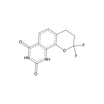 O=c1[nH]c(=O)c2ccc3c(c2[nH]1)OC(F)(F)CC3